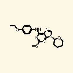 CCOc1ccc(Nc2nc(SC)nc3c2ncn3C2CCCCO2)cc1